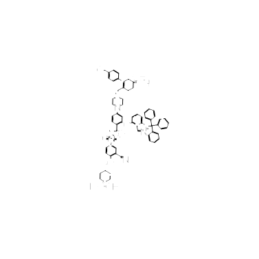 CC1(C)CCC(CN2CCN(c3ccc(C(=O)NS(=O)(=O)c4ccc(OC[C@H]5CC[C@](C)(O)CC5)c(C#N)c4)c(Oc4cccc5c4cnn5C(c4ccccc4)(c4ccccc4)c4ccccc4)c3)CC2)=C(c2ccc(Cl)cc2)C1